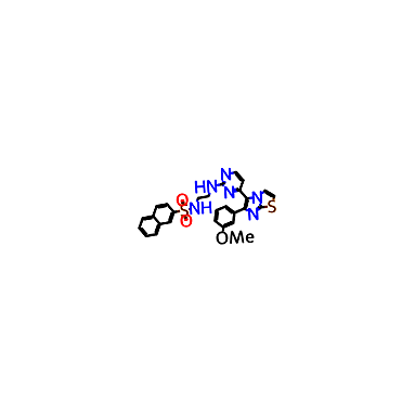 COc1cccc(-c2nc3sccn3c2-c2ccnc(NCCNS(=O)(=O)c3ccc4ccccc4c3)n2)c1